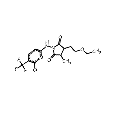 CCOCCC1C(=O)N(Nc2ccc(C(F)(F)F)c(Cl)n2)C(=O)C1C